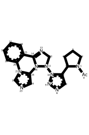 CC(=O)N1CCCC1c1cnnn1N1CN=C2c3ccccc3-n3cncc3N21